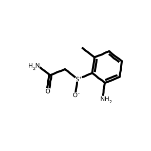 Cc1cccc(N)c1[S+]([O-])CC(N)=O